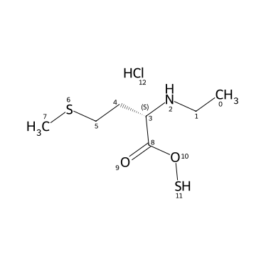 CCN[C@@H](CCSC)C(=O)OS.Cl